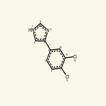 Clc1ccc(-c2c[nH]cn2)cc1Cl